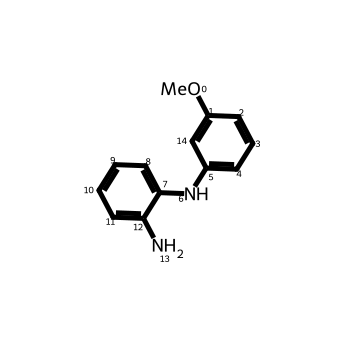 COc1cccc(Nc2ccccc2N)c1